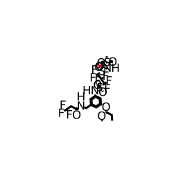 CCC(OC)Oc1cc(CNC(=O)CC(F)(F)F)cc(NS(=O)(=O)C(F)(F)C(F)(F)C(F)(F)S(=O)(=O)NS(C)(=O)=O)c1